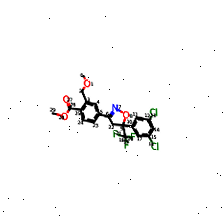 COCc1cc(C2=NOC(c3cc(Cl)cc(Cl)c3)(C(F)(F)F)C2)ccc1C(=O)OC